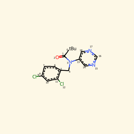 CC(C)(C)C(=O)N(Cc1ccc(Cl)cc1Cl)c1cncnc1